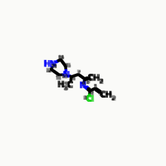 C=C/C(Cl)=N\C(=C)CC(C)N1CCNCC1